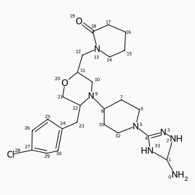 NC1NN=C(N2CCC(N3CC(CN4CCCCC4=O)OCC3Cc3ccc(Cl)cc3)CC2)N1